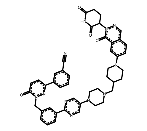 N#Cc1cccc(-c2ccc(=O)n(Cc3cccc(-c4ncc(N5CCN(CC6CCN(c7ccc8cnn(C9CCC(=O)NC9=O)c(=O)c8c7)CC6)CC5)cn4)c3)n2)c1